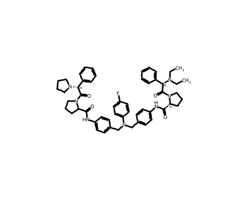 CCN(CC)[C@@H](C(=O)N1CCC[C@H]1C(=O)Nc1ccc(CN(Cc2ccc(NC(=O)C3CCCN3C(=O)[C@@H](c3ccccc3)N3CCCC3)cc2)c2ccc(F)cc2)cc1)c1ccccc1